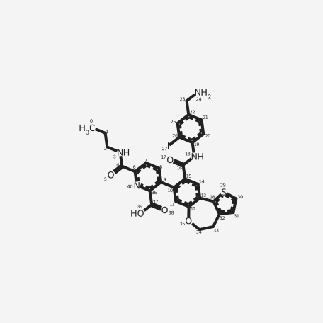 CCCNC(=O)c1ccc(-c2cc3c(cc2C(=O)Nc2ccc(CN)cc2I)-c2sccc2CCO3)c(C(=O)O)n1